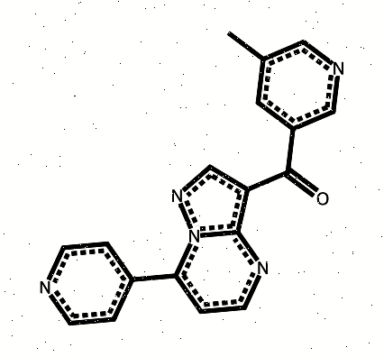 Cc1cncc(C(=O)c2cnn3c(-c4ccncc4)ccnc23)c1